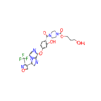 O=C(OCCCO)N1CCN(C(=O)c2ccc(Oc3nccn4c(-c5conc5C(F)(F)F)cnc34)cc2O)CC1